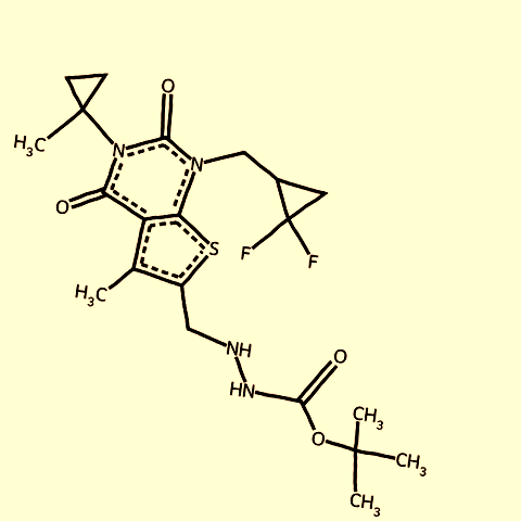 Cc1c(CNNC(=O)OC(C)(C)C)sc2c1c(=O)n(C1(C)CC1)c(=O)n2CC1CC1(F)F